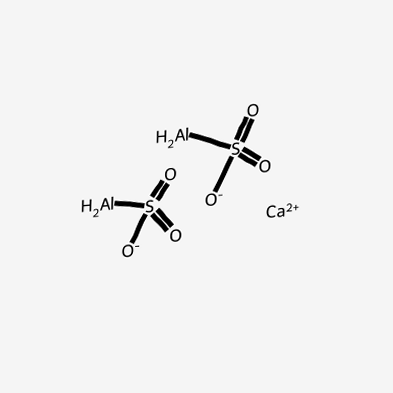 O=[S](=O)([O-])[AlH2].O=[S](=O)([O-])[AlH2].[Ca+2]